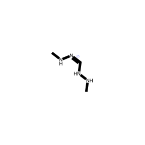 CN/N=C\NNC